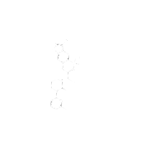 Nc1noc2cc3c(cc12)S(O)(O)N=C(C(O)[C@H]1OCCN(c2cccc(C(F)(F)F)n2)C1=O)N3